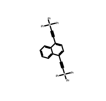 CC(C)S(C#Cc1ccc(C#CS(C(C)C)(C(C)C)C(C)C)c2ccccc12)(C(C)C)C(C)C